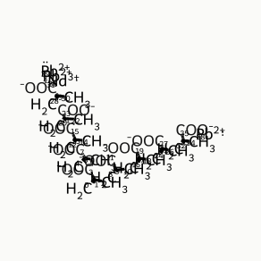 C=C(C)C(=O)[O-].C=C(C)C(=O)[O-].C=C(C)C(=O)[O-].C=C(C)C(=O)[O-].C=C(C)C(=O)[O-].C=C(C)C(=O)[O-].C=C(C)C(=O)[O-].C=C(C)C(=O)[O-].C=C(C)C(=O)[O-].[Nd+3].[Pb+2].[Pb+2].[Pb+2]